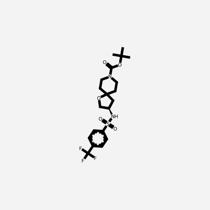 CC(C)(C)OC(=O)N1CCC2(CC1)C[C@@H](NS(=O)(=O)c1ccc(C(F)(F)F)cc1)CO2